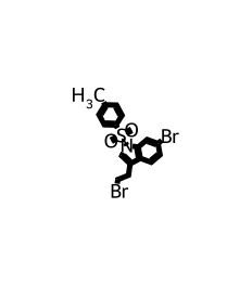 Cc1ccc(S(=O)(=O)n2cc(CCBr)c3ccc(Br)cc32)cc1